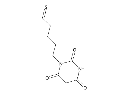 O=C1CC(=O)N(CCCCC=S)C(=O)N1